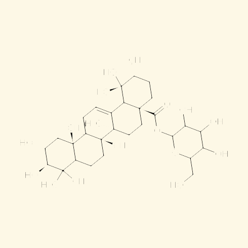 C[C@@H]1CC[C@]2(C(=O)OC3OC(CO)C(O)C(O)C3O)CC[C@]3(C)C(=CCC4[C@@]5(C)C[C@@H](O)[C@H](O)C(C)(C)C5CC[C@]43C)C2[C@]1(C)O